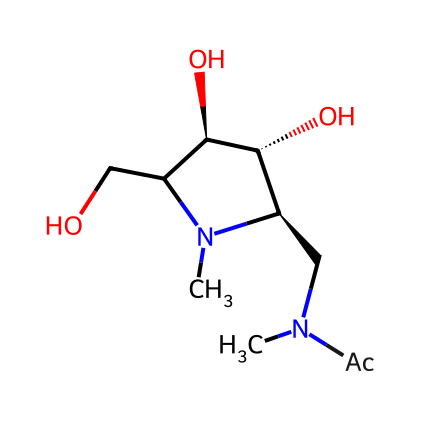 CC(=O)N(C)C[C@@H]1[C@@H](O)[C@H](O)C(CO)N1C